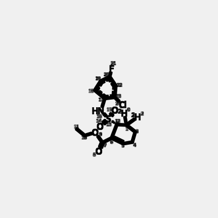 [2H]C1([2H])CCC=C(C(=O)OCC)[C@@H]1S(=O)(=O)Nc1ccc(F)cc1Cl